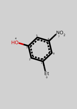 CCc1cc(O)cc([N+](=O)[O-])c1